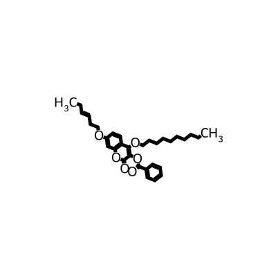 CCC=CCCOc1ccc2c(OCCCCCCCCCC)c(OC(=O)c3ccccc3)c(=O)oc2c1